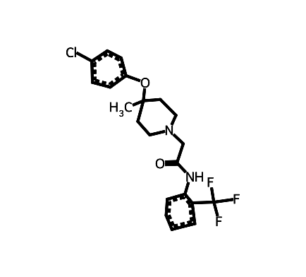 CC1(Oc2ccc(Cl)cc2)CCN(CC(=O)Nc2ccccc2C(F)(F)F)CC1